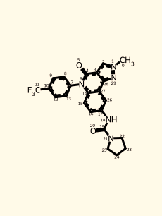 Cn1cc2c(=O)n(-c3ccc(C(F)(F)F)cc3)c3ccc(NC(=O)N4CCCC4)cc3c2n1